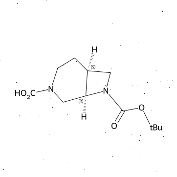 CC(C)(C)OC(=O)N1C[C@@H]2CCN(C(=O)O)C[C@@H]21